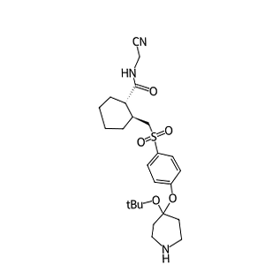 CC(C)(C)OC1(Oc2ccc(S(=O)(=O)C[C@H]3CCCC[C@@H]3C(=O)NCC#N)cc2)CCNCC1